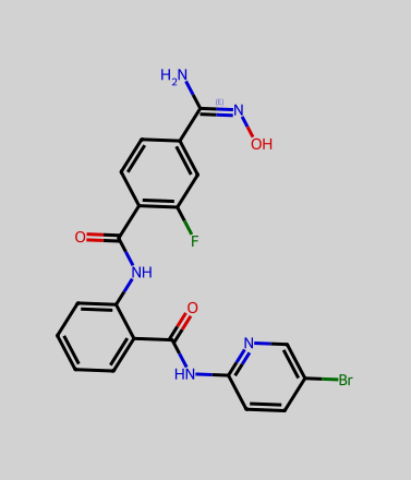 N/C(=N/O)c1ccc(C(=O)Nc2ccccc2C(=O)Nc2ccc(Br)cn2)c(F)c1